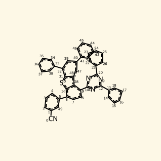 N#Cc1cccc(-c2ccc(-c3nc(-c4ccccc4)nc(-c4ccccc4)n3)c3c2sc2c(-c4ccccc4)cc(-c4ccccc4)cc23)c1